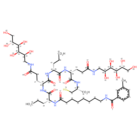 Cc1cccc(C(=O)NCCCCCCCC(=O)N[C@H](CCC(=O)O)C(=O)N[C@H](CCC(=O)NC[C@H](O)[C@@H](O)[C@H](O)[C@H](O)CO)C(=O)N[C@H](CCC(=O)O)C(=O)N[C@H](CCC(=O)NC[C@H](O)[C@@H](O)[C@H](O)[C@H](O)CO)C(=O)N[C@@H](CS)C(=O)O)c1